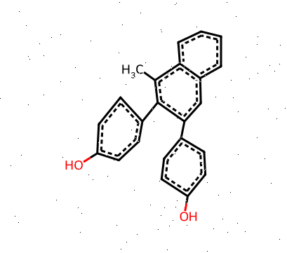 Cc1c(-c2ccc(O)cc2)c(-c2ccc(O)cc2)cc2ccccc12